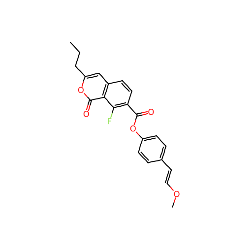 CCCc1cc2ccc(C(=O)Oc3ccc(/C=C/OC)cc3)c(F)c2c(=O)o1